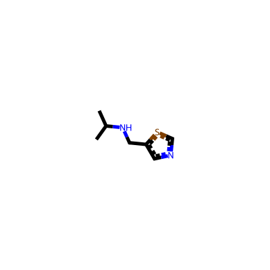 CC(C)NCc1cncs1